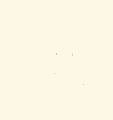 O=C(c1ccccc1)N(OC(F)F)c1cc(C(F)(F)F)ccn1